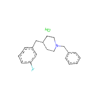 Cl.Fc1cccc(CC2CCN(Cc3ccccc3)CC2)c1